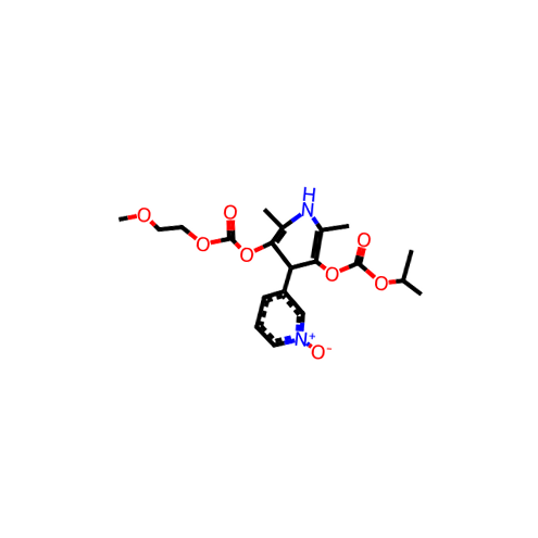 COCCOC(=O)OC1=C(C)NC(C)=C(OC(=O)OC(C)C)C1c1ccc[n+]([O-])c1